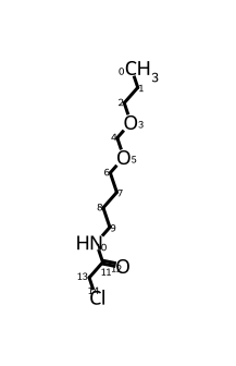 CCCOCOCCCCNC(=O)CCl